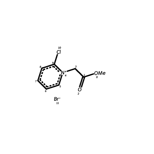 COC(=O)C[n+]1ccccc1Cl.[Br-]